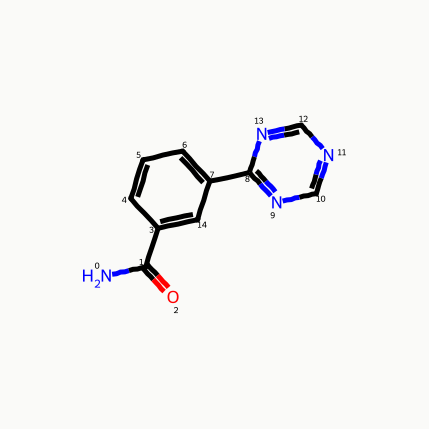 NC(=O)c1cccc(-c2ncncn2)c1